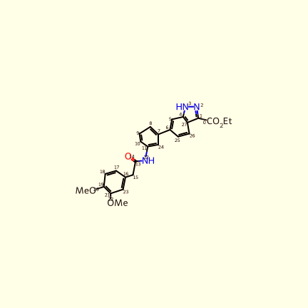 CCOC(=O)c1n[nH]c2cc(-c3cccc(NC(=O)Cc4ccc(OC)c(OC)c4)c3)ccc12